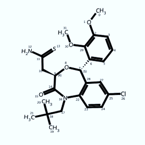 COc1cccc([C@H]2O[C@H](CC(N)=S)C(=O)N(CC(C)(C)C)c3ccc(Cl)cc32)c1OC